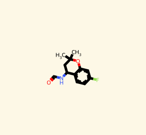 CC1(C)CC(NC=O)c2ccc(F)cc2O1